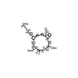 CNC(=O)C[C@@H]1NC(=O)c2csc(n2)-c2ccc(-c3nc(NC(=O)CCCCC(=O)OC)cs3)nc2-c2csc(n2)-c2csc(n2)[C@H]([C@@H](OC(N)=O)c2ccccc2)NC(=O)CNC(=O)c2nc(sc2COC)[C@H](C(C)C)NC(=O)c2nc1sc2C